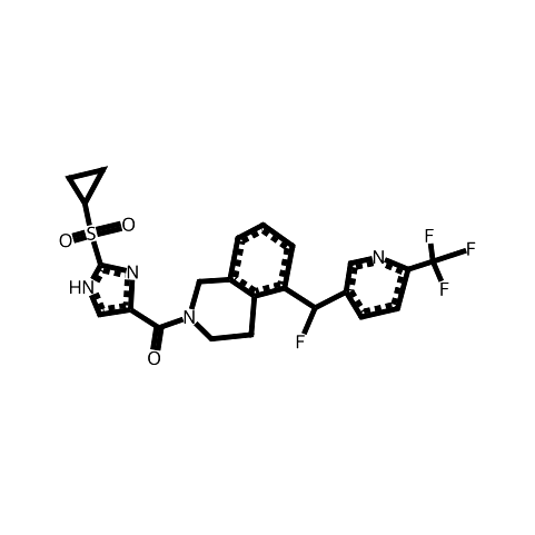 O=C(c1c[nH]c(S(=O)(=O)C2CC2)n1)N1CCc2c(cccc2C(F)c2ccc(C(F)(F)F)nc2)C1